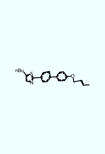 CC=CCOc1ccc(-c2ccc(-c3ncc(CCCC)s3)cc2)cc1